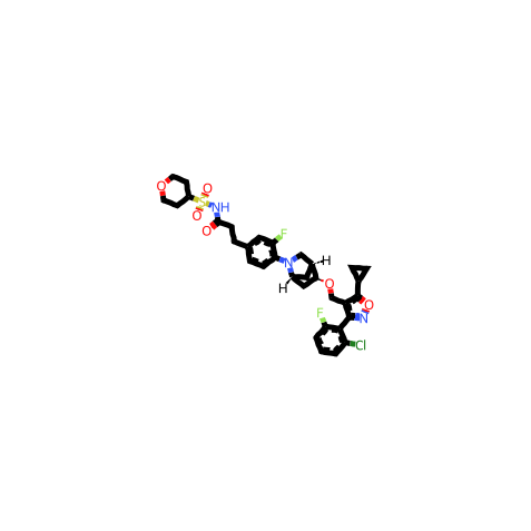 O=C(CCc1ccc(N2C[C@@H]3C[C@H]2C[C@H]3OCc2c(-c3c(F)cccc3Cl)noc2C2CC2)c(F)c1)NS(=O)(=O)C1CCOCC1